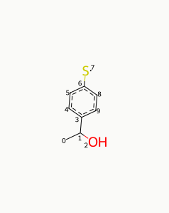 CC(O)c1ccc([S])cc1